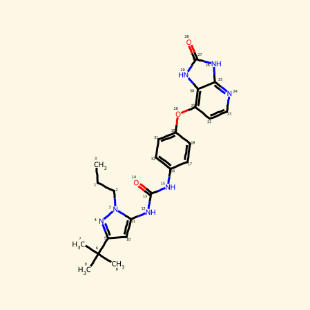 CCCn1nc(C(C)(C)C)cc1NC(=O)Nc1ccc(Oc2ccnc3[nH]c(=O)[nH]c23)cc1